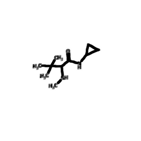 CNC(C(=O)NC1CC1)C(C)(C)C